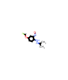 CC(C)=NNc1ccc(OCF)cc1N=O